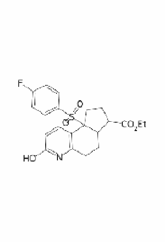 CCOC(=O)C1CCC2(S(=O)(=O)c3ccc(F)cc3)c3ccc(O)nc3CCC12